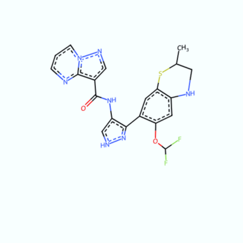 CC1CNc2cc(OC(F)F)c(-c3n[nH]cc3NC(=O)c3cnn4cccnc34)cc2S1